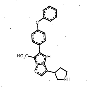 O=C(O)c1c(-c2ccc(Oc3ccccc3)cc2)[nH]c2c(C3CCNC3)cnn12